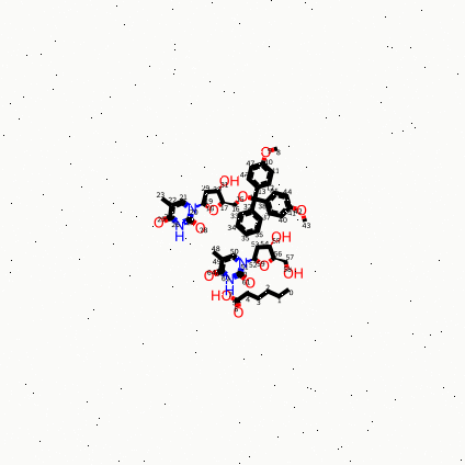 CCCCCC(=O)O.COc1ccc(C(OC[C@H]2O[C@@H](n3cc(C)c(=O)[nH]c3=O)C[C@@H]2O)(c2ccccc2)c2ccc(OC)cc2)cc1.Cc1cn([C@H]2C[C@H](O)[C@@H](CO)O2)c(=O)[nH]c1=O